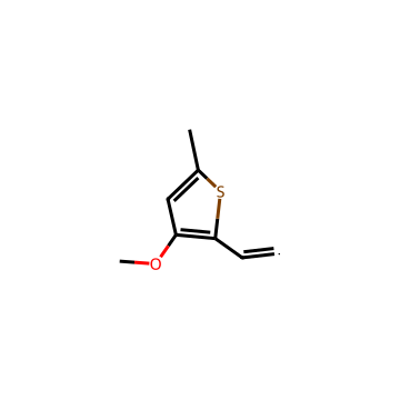 [CH]=Cc1sc(C)cc1OC